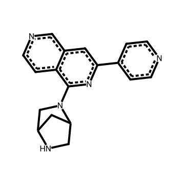 c1cc(-c2cc3cnccc3c(N3CC4CC3CN4)n2)ccn1